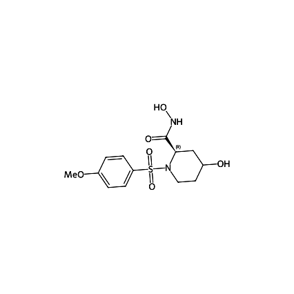 COc1ccc(S(=O)(=O)N2CCC(O)C[C@@H]2C(=O)NO)cc1